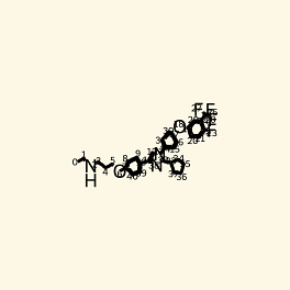 CCNCCCOc1ccc(-c2cn(-c3ccc(Oc4ccc(F)c(C(F)(F)F)c4)cc3)c(C3CCCC3)n2)cc1